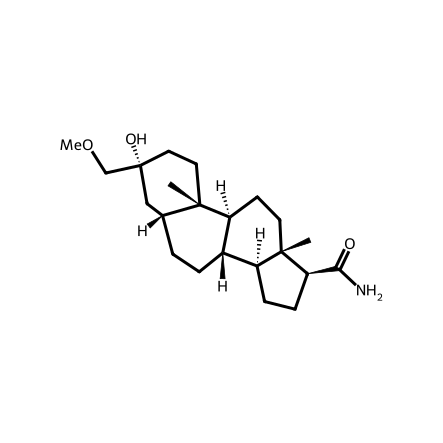 COC[C@@]1(O)CC[C@@]2(C)[C@H](CC[C@@H]3[C@@H]2CC[C@]2(C)[C@@H](C(N)=O)CC[C@@H]32)C1